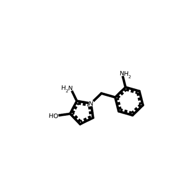 Nc1ccccc1Cn1ccc(O)c1N